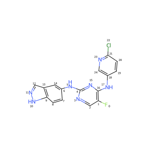 Fc1cnc(Nc2ccc3[nH]ncc3c2)nc1Nc1ccc(Cl)nc1